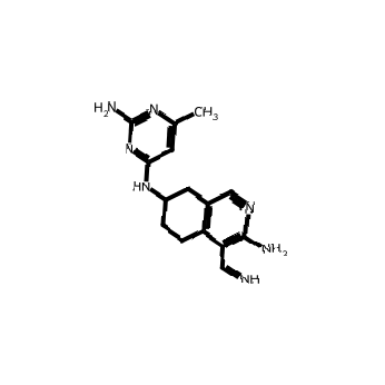 Cc1cc(NC2CCc3c(cnc(N)c3C=N)C2)nc(N)n1